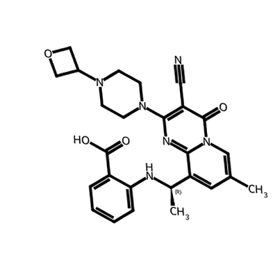 Cc1cc([C@@H](C)Nc2ccccc2C(=O)O)c2nc(N3CCN(C4COC4)CC3)c(C#N)c(=O)n2c1